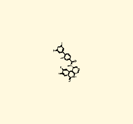 CN(C(=O)c1ccc(-c2cc(F)cc(F)c2)c(F)c1)[C@@H]1COCc2[nH]c(=O)c3cc(F)c(F)cc3c21